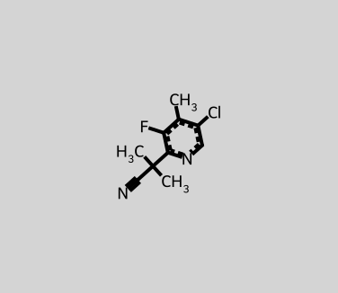 Cc1c(Cl)cnc(C(C)(C)C#N)c1F